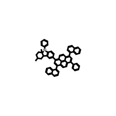 CC1CCC2(C)C(C1)c1cc(-c3cc(-c4cccc5ccccc45)c4ccc5c(-c6ccccc6)cc(-c6cccc7ccccc67)c6ccc3c4c56)ccc1N2c1ccccc1